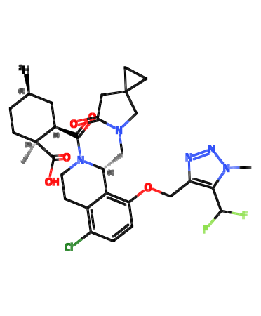 [2H][C@@H]1CC[C@](C)(C(=O)O)[C@H](C(=O)N2CCc3c(Cl)ccc(OCc4nnn(C)c4C(F)F)c3[C@H]2CN2CC3(CC3)CC2=O)C1